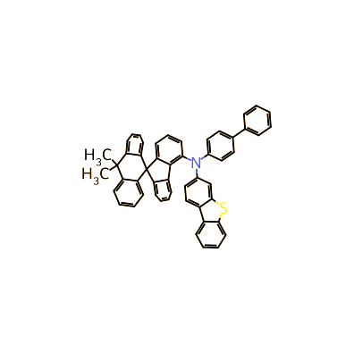 CC1(C)c2ccccc2C2(c3ccccc3-c3c(N(c4ccc(-c5ccccc5)cc4)c4ccc5c(c4)sc4ccccc45)cccc32)c2ccccc21